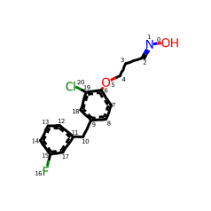 ON=CCCOc1ccc(Cc2cccc(F)c2)cc1Cl